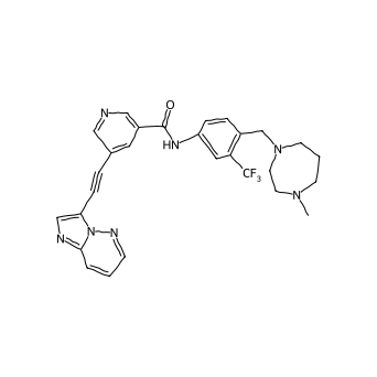 CN1CCCN(Cc2ccc(NC(=O)c3cncc(C#Cc4cnc5cccnn45)c3)cc2C(F)(F)F)CC1